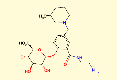 C[C@H]1CCCN(Cc2ccc(O[C@@H]3O[C@H](C(=O)O)[C@@H](O)[C@H](O)[C@H]3O)c(C(=O)NCCN)c2)C1